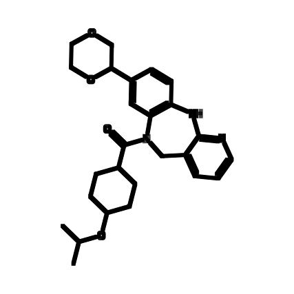 CC(C)OC1CCC(C(=O)N2Cc3cccnc3Nc3ccc(C4COCCO4)cc32)CC1